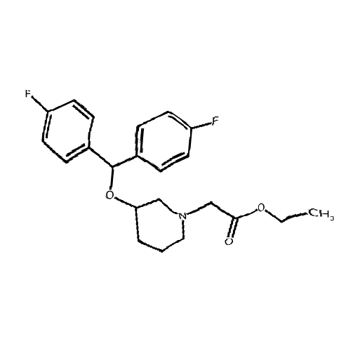 CCOC(=O)CN1CCCC(OC(c2ccc(F)cc2)c2ccc(F)cc2)C1